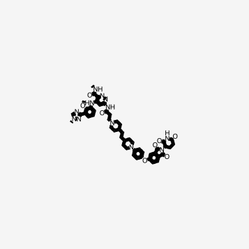 CNC(=O)c1nnc(NC(=O)CCN2CCC(CCC3CCN(c4ccc(Oc5ccc6c(c5)C(=O)N(C5CCC(=O)NC5=O)C6=O)cc4)CC3)CC2)cc1Nc1cccc(-c2ncn(C)n2)c1OC